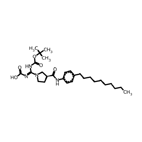 CCCCCCCCCCc1ccc(NC(=O)[C@H]2CCN(C(=NC(=O)O)NC(=O)OC(C)(C)C)C2)cc1